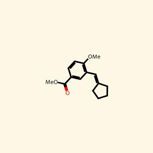 COC(=O)c1ccc(OC)c(C=C2CCCC2)c1